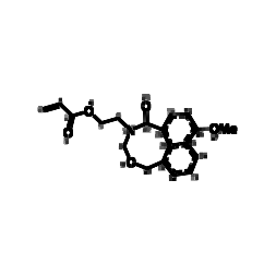 C=CC(=O)OCCN1COCc2cccc3c(OC)ccc(c23)C1=O